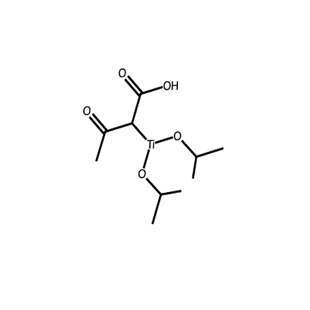 CC(=O)[CH](C(=O)O)[Ti]([O]C(C)C)[O]C(C)C